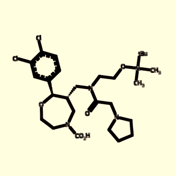 CC(C)(C)[Si](C)(C)OCCN(C[C@@H]1CN(C(=O)O)CCO[C@H]1c1ccc(Cl)c(Cl)c1)C(=O)CN1CCCC1